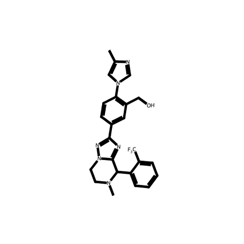 Cc1cn(-c2ccc(-c3nc4n(n3)CCN(C)C4c3ccccc3C(F)(F)F)cc2CO)cn1